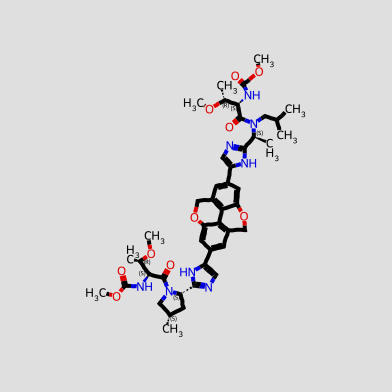 COC(=O)N[C@H](C(=O)N(CC(C)C)[C@@H](C)c1ncc(-c2cc3c4c(c2)OCc2cc(-c5cnc([C@@H]6C[C@H](C)CN6C(=O)[C@@H](NC(=O)OC)[C@@H](C)OC)[nH]5)cc(c2-4)OC3)[nH]1)[C@@H](C)OC